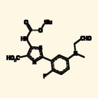 CN(CC=O)c1ccc(F)c(-c2nc(C(=O)O)c(NC(=O)OC(C)(C)C)s2)c1